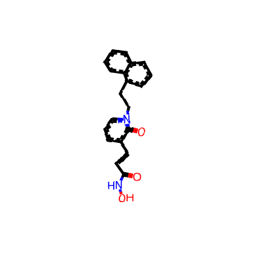 O=C(/C=C/c1cccn(CCc2cccc3ccccc23)c1=O)NO